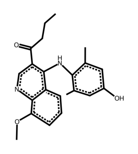 CCCC(=O)c1cnc2c(OC)cccc2c1Nc1c(C)cc(O)cc1C